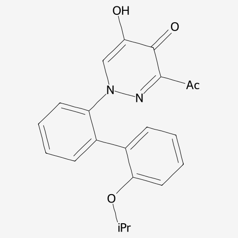 CC(=O)c1nn(-c2ccccc2-c2ccccc2OC(C)C)cc(O)c1=O